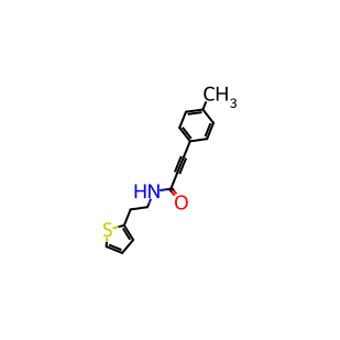 Cc1ccc(C#CC(=O)NCCc2cccs2)cc1